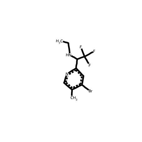 CCNC(c1cc(Br)c(C)cn1)C(F)(F)F